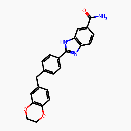 NC(=O)c1ccc2nc(-c3ccc(Cc4ccc5c(c4)OCCO5)cc3)[nH]c2c1